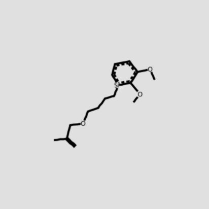 C=C(C)COCCCC[si]1cccc(OC)c1OC